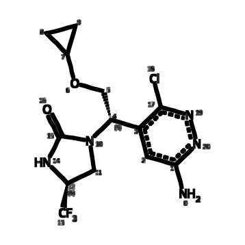 Nc1cc([C@@H](COC2CC2)N2C[C@@H](C(F)(F)F)NC2=O)c(Cl)nn1